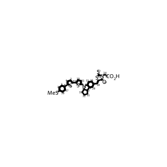 CSc1ccc(-c2ccc(-c3ccc(N4c5ccc(/C=C6\SC(=S)N(CC(=O)O)C6=O)cc5C5CCCC54)s3)s2)cc1